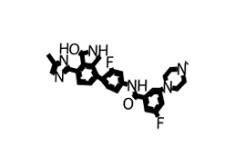 Cc1cnc(-c2ccc(-c3ccc(NC(=O)c4cc(F)cc(N5CCN(C)CC5)c4)cc3F)c3c2C(=O)NC3)[nH]1